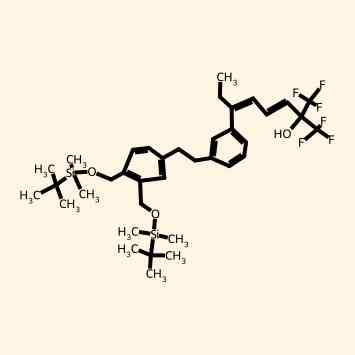 CC/C(=C/C=C/C(O)(C(F)(F)F)C(F)(F)F)c1cccc(CCc2ccc(CO[Si](C)(C)C(C)(C)C)c(CO[Si](C)(C)C(C)(C)C)c2)c1